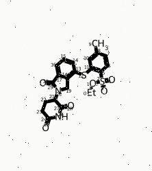 CCOS(=O)(=O)c1ccc(C)cc1Sc1cccc2c1CN(C1CCC(=O)NC1=O)C2=O